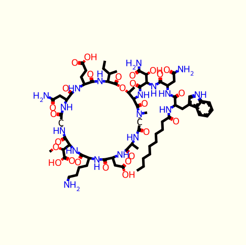 CCCCCCCCCC(=O)NC(Cc1c[nH]c2ccccc12)C(=O)NC(CC(N)=O)C(=O)NC(C(=O)NC1C(=O)N(C)CC(=O)NC(C)C(=O)NC(CC(=O)O)C(=O)NC(CCCCN)C(=O)NC(C(OC)C(=O)O)C(=O)NCC(=O)NC(CC(N)=O)C(=O)NC(CCC(=O)O)C(=O)NC(C(C)CC)C(=O)OC1C)C(O)C(N)=O